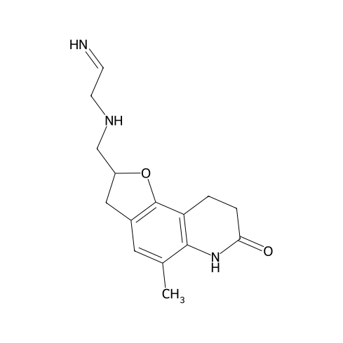 Cc1cc2c(c3c1NC(=O)CC3)OC(CNCC=N)C2